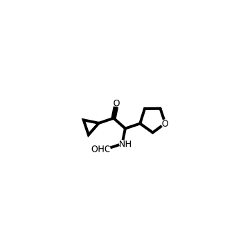 O=CNC(C(=O)C1CC1)C1CCOC1